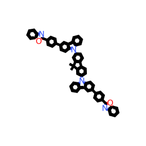 CC1(C)c2cc(-n3c4ccccc4c4cc(-c5ccc(-c6nc7ccccc7o6)cc5)ccc43)ccc2-c2ccc(-n3c4ccccc4c4cc(-c5ccc(-c6nc7ccccc7o6)cc5)ccc43)cc21